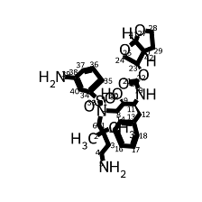 CC(C)(CCN)CN(C[C@@H](O)[C@H](Cc1ccccc1)NC(=O)O[C@H]1CO[C@H]2OCC[C@H]21)S(=O)(=O)c1cccc(N)c1